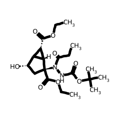 CCOC(=O)[C@H]1C2[C@@H](O)C[C@](C(=O)OCC)(N(NC(=O)OC(C)(C)C)C(=O)CC)[C@@H]21